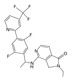 CCN1Cc2c(ccnc2NC(C)c2cc(F)c(-c3cc(C(F)(F)F)ccn3)cc2F)C1=O